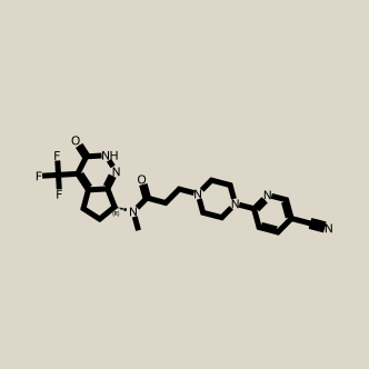 CN(C(=O)CCN1CCN(c2ccc(C#N)cn2)CC1)[C@@H]1CCc2c1n[nH]c(=O)c2C(F)(F)F